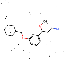 COC(CCN)c1cccc(OCC2CCCCC2)c1